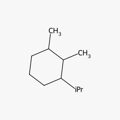 CC(C)C1CCCC(C)C1C